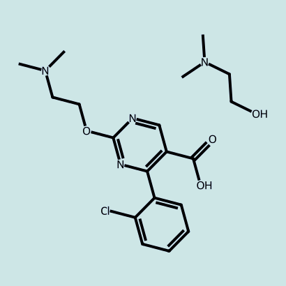 CN(C)CCO.CN(C)CCOc1ncc(C(=O)O)c(-c2ccccc2Cl)n1